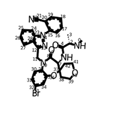 CN[C@@H](C)C(=O)N[C@@H]1C(=O)N(Cc2nn(-c3ccccc3C#N)c3ccccc23)c2ccc(Br)cc2OC12CCOCC2